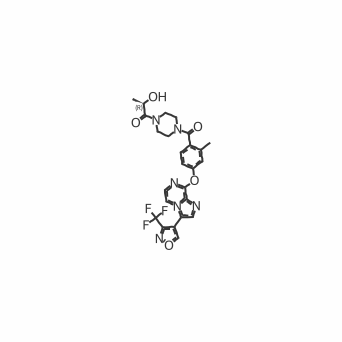 Cc1cc(Oc2nccn3c(-c4conc4C(F)(F)F)cnc23)ccc1C(=O)N1CCN(C(=O)[C@@H](C)O)CC1